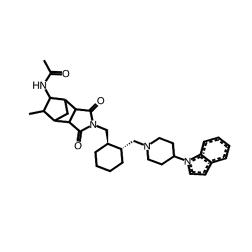 CC(=O)NC1C(C)C2CC1C1C(=O)N(C[C@@H]3CCCC[C@H]3CN3CCC(n4ccc5ccccc54)CC3)C(=O)C21